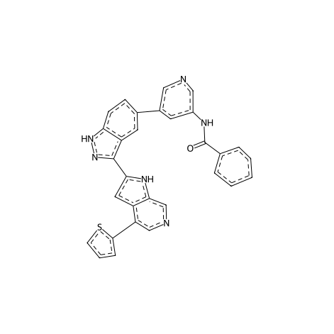 O=C(Nc1cncc(-c2ccc3[nH]nc(-c4cc5c(-c6cccs6)cncc5[nH]4)c3c2)c1)c1ccccc1